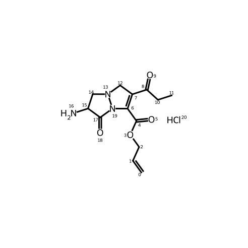 C=CCOC(=O)C1=C(C(=O)CC)CN2CC(N)C(=O)N12.Cl